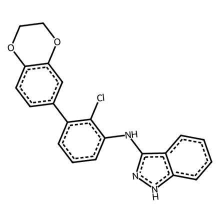 Clc1c(Nc2n[nH]c3ccccc23)cccc1-c1ccc2c(c1)OCCO2